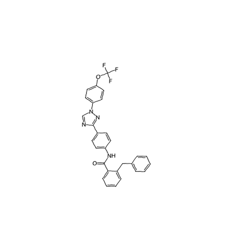 O=C(Nc1ccc(-c2ncn(-c3ccc(OC(F)(F)F)cc3)n2)cc1)c1ccccc1Cc1ccccc1